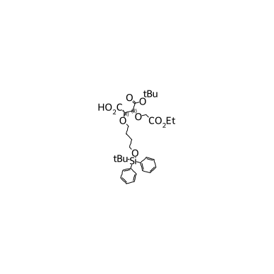 CCOC(=O)CO[C@@H](C(=O)OC(C)(C)C)[C@@H](OCCCCO[Si](c1ccccc1)(c1ccccc1)C(C)(C)C)C(=O)O